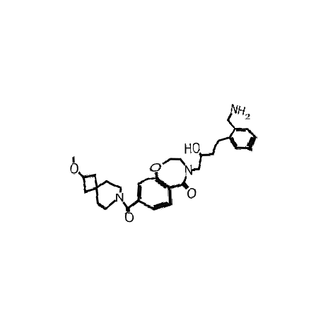 COC1CC2(CCN(C(=O)c3ccc4c(c3)OCCN(CC(O)CCc3ccccc3CN)C4=O)CC2)C1